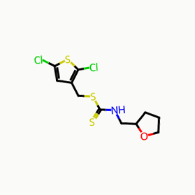 S=C(NCC1CCCO1)SCc1cc(Cl)sc1Cl